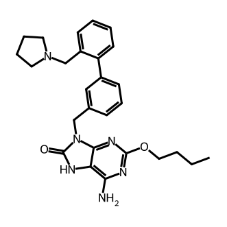 CCCCOc1nc(N)c2[nH]c(=O)n(Cc3cccc(-c4ccccc4CN4CCCC4)c3)c2n1